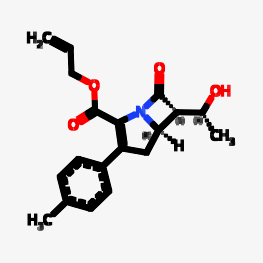 C=CCOC(=O)C1=C(c2ccc(C)cc2)C[C@@H]2[C@@H]([C@@H](C)O)C(=O)N12